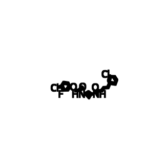 O=C(CCCc1cccc(Cl)c1)NC12CC(NC(=O)COc3ccc(Cl)c(F)c3)(C1)C2